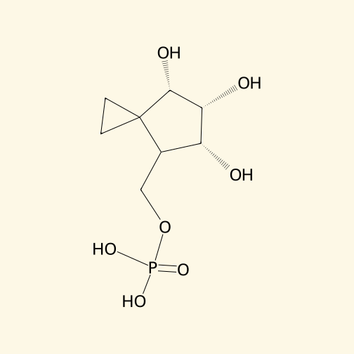 O=P(O)(O)OCC1[C@@H](O)[C@@H](O)[C@@H](O)C12CC2